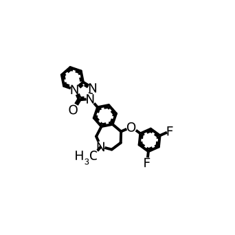 CN1CCC(Oc2cc(F)cc(F)c2)c2ccc(-n3nc4ccccn4c3=O)cc2C1